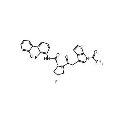 CC(=O)n1cc(CC(=O)N2C[C@H](F)C[C@H]2C(=O)Nc2cccc(-c3ccccc3Cl)c2F)c2ccsc21